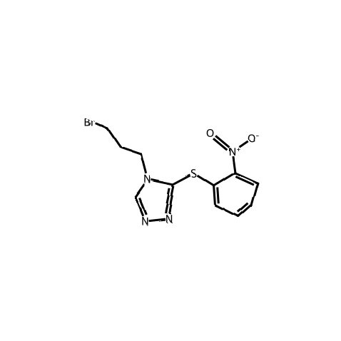 O=[N+]([O-])c1ccccc1Sc1nncn1CCCBr